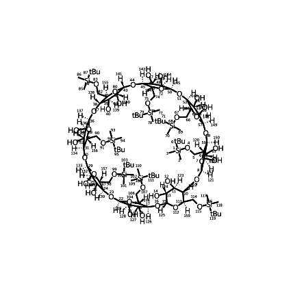 CC(C)(C)[Si](C)(C)OC[C@H]1O[C@@H]2O[C@H]3[C@H](O)[C@@H](O)[C@@H](O[C@H]4[C@H](O)[C@@H](O)[C@@H](O[C@H]5[C@H](O)[C@@H](O)[C@@H](O[C@H]6[C@H](O)[C@@H](O)[C@@H](O[C@H]7[C@H](O)[C@@H](O)[C@@H](O[C@H]8[C@H](O)[C@@H](O)[C@@H](O[C@H]9[C@H](O)[C@@H](O)[C@@H](O[C@H]1[C@H](O)[C@H]2O)O[C@@H]9CO[Si](C)(C)C(C)(C)C)O[C@@H]8CO[Si](C)(C)C(C)(C)C)O[C@@H]7CO[Si](C)(C)C(C)(C)C)O[C@@H]6CO[Si](C)(C)C(C)(C)C)O[C@@H]5CO[Si](C)(C)C(C)(C)C)O[C@@H]4CO[Si](C)(C)C(C)(C)C)O[C@@H]3CO[Si](C)(C)C(C)(C)C